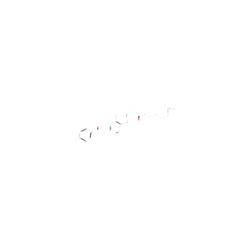 O=C(CCCCC1CCSS1)NC1CCc2nc(NC(=O)c3ccc(F)cc3)ncc2C1